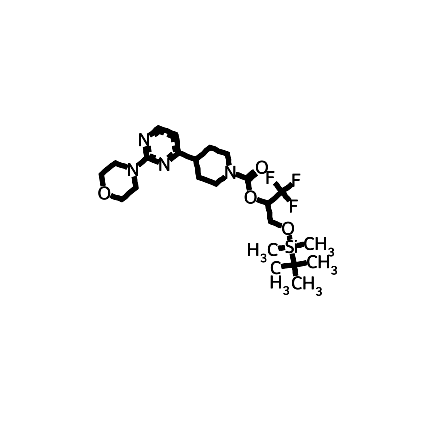 CC(C)(C)[Si](C)(C)OCC(OC(=O)N1CCC(c2ccnc(N3CCOCC3)n2)CC1)C(F)(F)F